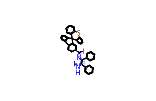 IN/C(=C(\N=C(/I)c1ccc2c(c1)C1(c3ccccc3Sc3ccccc31)c1ccccc1-2)c1ccccc1)c1ccccc1